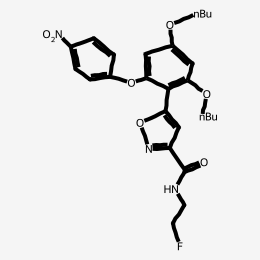 CCCCOc1cc(OCCCC)c(-c2cc(C(=O)NCCF)no2)c(Oc2ccc([N+](=O)[O-])cc2)c1